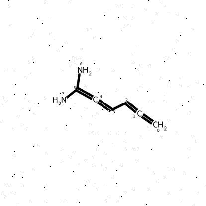 C=C=CC=C=C(N)N